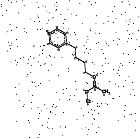 CCO[SiH](C)OCCCCc1ccncc1